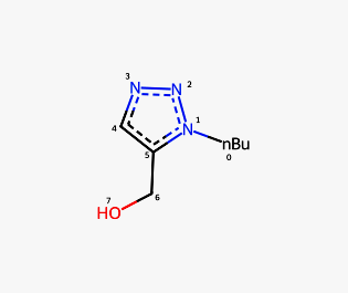 CCCCn1nncc1CO